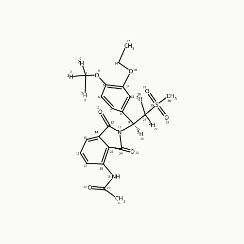 [2H]C([2H])([2H])Oc1ccc([C@]([2H])(N2C(=O)c3cccc(NC(C)=O)c3C2=O)C([2H])([2H])S(C)(=O)=O)cc1OCC